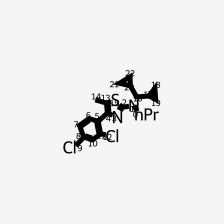 CCCN(c1nc(-c2ccc(Cl)cc2Cl)c(C)s1)C(C1CC1)C1CC1